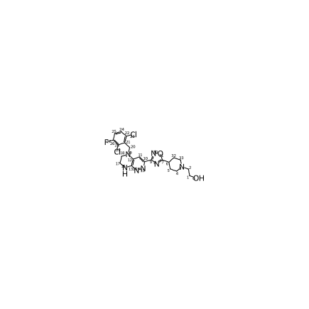 OCCN1CCC(c2nc(-c3cc4c(nn3)NCCN4Cc3c(Cl)ccc(F)c3Cl)no2)CC1